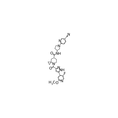 COc1cc(-c2cc(C(=O)N3CC[C@H](C(=O)N[C@H]4CCN(c5ccc(C#N)cn5)C4)CC34CC4)n[nH]2)c(F)cn1